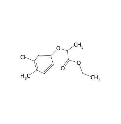 CCOC(=O)C(C)Oc1ccc(C)c(Cl)c1